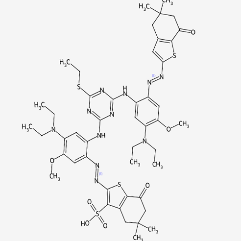 CCSc1nc(Nc2cc(N(CC)CC)c(OC)cc2/N=N/c2cc3c(s2)C(=O)CC(C)(C)C3)nc(Nc2cc(N(CC)CC)c(OC)cc2/N=N/c2sc3c(c2S(=O)(=O)O)CC(C)(C)CC3=O)n1